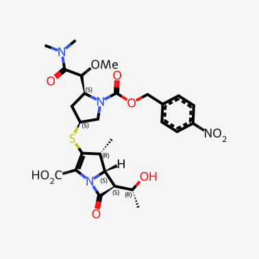 COC(C(=O)N(C)C)[C@@H]1C[C@H](SC2=C(C(=O)O)N3C(=O)[C@H]([C@@H](C)O)[C@H]3[C@H]2C)CN1C(=O)OCc1ccc([N+](=O)[O-])cc1